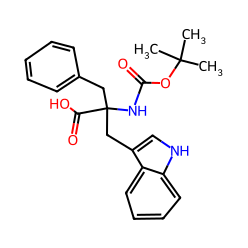 CC(C)(C)OC(=O)NC(Cc1ccccc1)(Cc1c[nH]c2ccccc12)C(=O)O